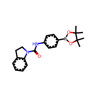 CC1(C)OB(c2ccc(NC(=O)N3CCc4ccccc43)cc2)OC1(C)C